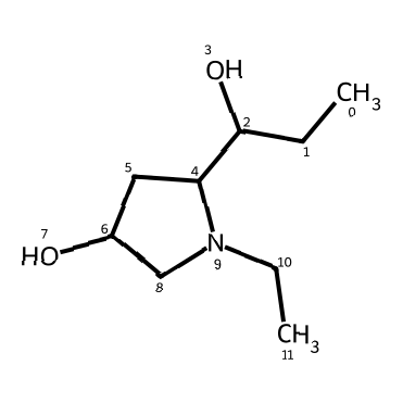 CCC(O)C1CC(O)CN1CC